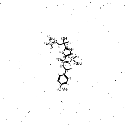 COc1ccc(C(C)NS(=O)(=N[Si](C)(C)C(C)(C)C)c2cnc(C(C)(O)CO[Si](C)(C)C(C)(C)C)s2)cc1